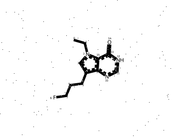 CCn1cc(CCCF)c2nc[nH]c(=O)c21